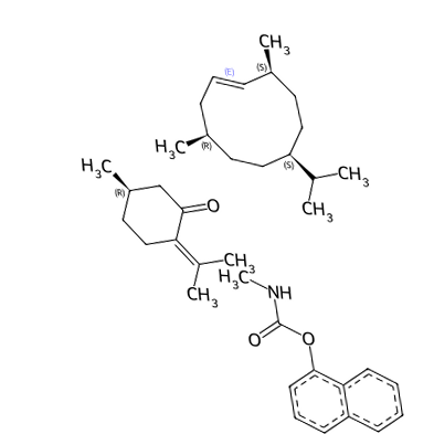 CC(C)=C1CC[C@@H](C)CC1=O.CC(C)[C@H]1CC[C@@H](C)C/C=C/[C@@H](C)CC1.CNC(=O)Oc1cccc2ccccc12